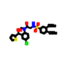 COc1ccc(S(=O)(=O)NCC(=O)N(C)c2ccc(Cl)cc2C(O)c2cccs2)cc1OC